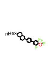 CCCCCCC1CCC2CC(c3ccc(-c4cc(F)c(OC(F)F)c(F)c4)cc3)CCC2C1